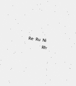 [Ni].[Re].[Rh].[Ru]